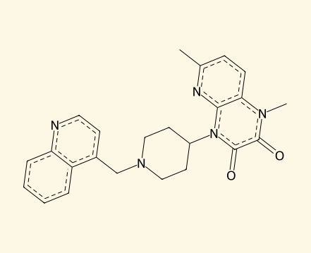 Cc1ccc2c(n1)n(C1CCN(Cc3ccnc4ccccc34)CC1)c(=O)c(=O)n2C